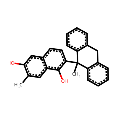 Cc1cc2c(O)c(C3(C)c4ccccc4Cc4ccccc43)ccc2cc1O